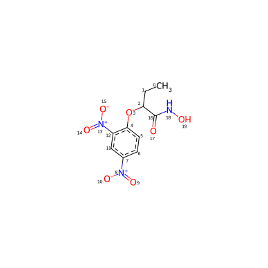 CCC(Oc1ccc([N+](=O)[O-])cc1[N+](=O)[O-])C(=O)NO